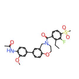 CCc1c(C(=O)N2CCOc3ccc(-c4ccc(NC(C)=O)c(OC)c4)cc3C2)ccc(S(C)(=O)=O)c1F